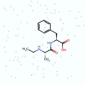 CCN[C@@H](C)C(=O)N[C@@H](Cc1ccccc1)C(=O)O